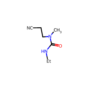 CCNC(=O)N(C)CCC#N